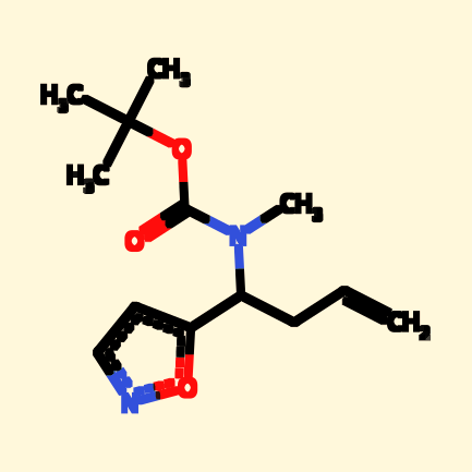 C=CCC(c1ccno1)N(C)C(=O)OC(C)(C)C